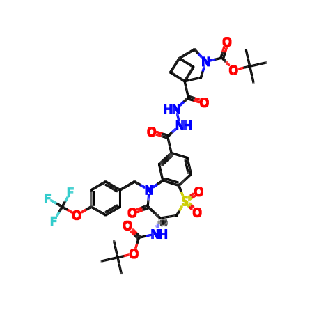 CC(C)(C)OC(=O)N[C@H]1CS(=O)(=O)c2ccc(C(=O)NNC(=O)C34CC(CN(C(=O)OC(C)(C)C)C3)C4)cc2N(Cc2ccc(OC(F)(F)F)cc2)C1=O